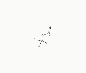 CC(C)(C)O[SH]=O